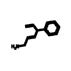 C=CC(C=CCN)c1ccccc1